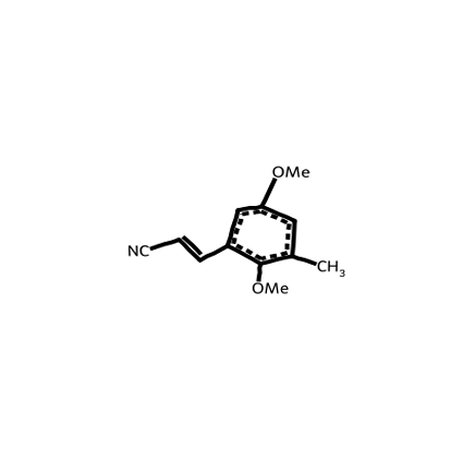 COc1cc(C)c(OC)c(/C=C/C#N)c1